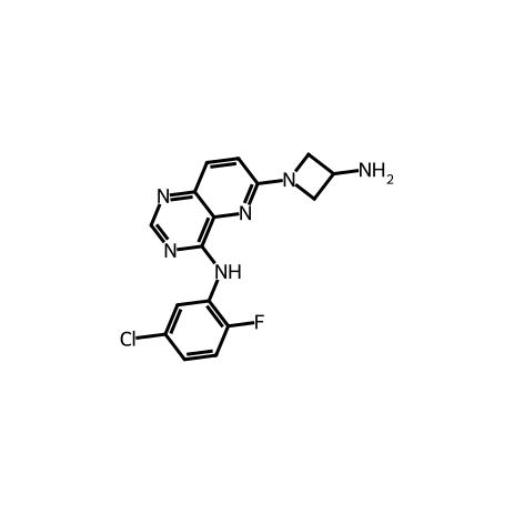 NC1CN(c2ccc3ncnc(Nc4cc(Cl)ccc4F)c3n2)C1